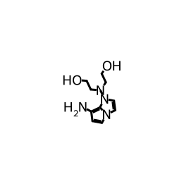 Nc1ccn2ccn(N(CCO)CCO)c12